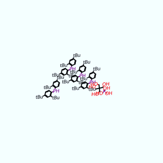 CC(C)(C)c1ccc(Pc2ccc(C(C)(C)C)cc2C(C)(C)C)c(C(C)(C)C)c1.CC(C)(C)c1ccc(Pc2ccc(C(C)(C)C)cc2C(C)(C)C)c(C(C)(C)C)c1.CC(C)(C)c1ccc(Pc2ccc(C(C)(C)C)cc2C(C)(C)C)c(C(C)(C)C)c1.CC(C)(C)c1ccc(Pc2ccc(C(C)(C)C)cc2C(C)(C)C)c(C(C)(C)C)c1.OCC(CO)(CO)CO.OP(O)O